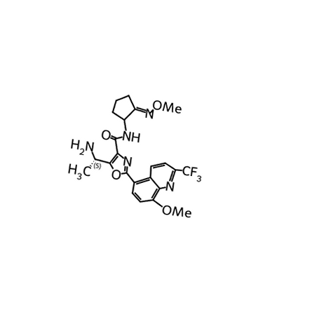 CON=C1CCCC1NC(=O)c1nc(-c2ccc(OC)c3nc(C(F)(F)F)ccc23)oc1[C@H](C)N